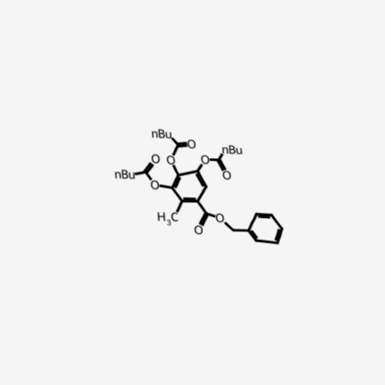 CCCCC(=O)Oc1cc(C(=O)OCc2ccccc2)c(C)c(OC(=O)CCCC)c1OC(=O)CCCC